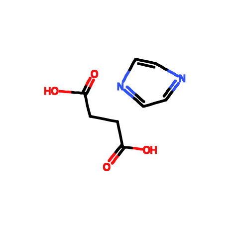 O=C(O)CCC(=O)O.c1cnccn1